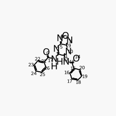 O=C(Nc1nc2nonc2nc1NC(=O)c1ccccc1)c1ccccc1